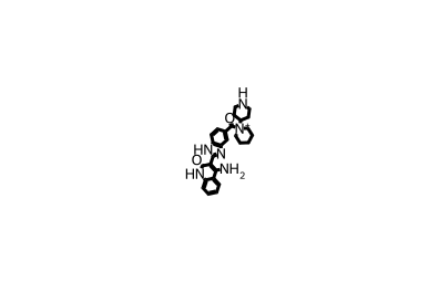 Nc1c(-c2nc3cc(C(=O)[N+]4(C5CCNCC5)CCCCC4)ccc3[nH]2)c(=O)[nH]c2ccccc12